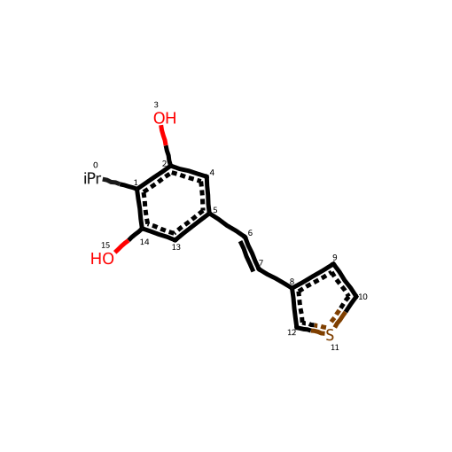 CC(C)c1c(O)cc(C=Cc2ccsc2)cc1O